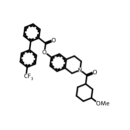 COC1CCCC(C(=O)N2CCc3cc(OC(=O)c4ccccc4-c4ccc(C(F)(F)F)cc4)ccc3C2)C1